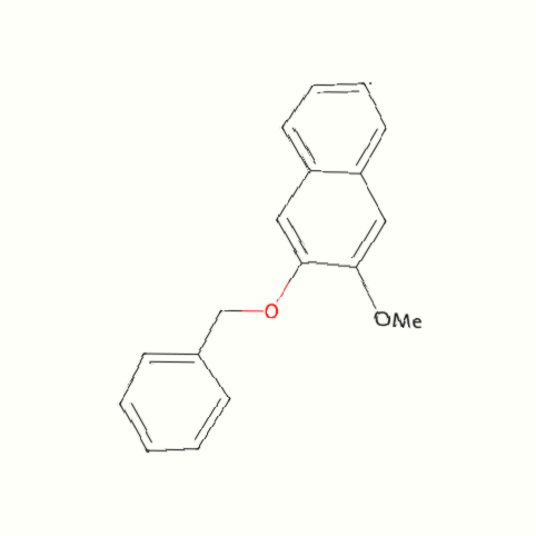 COc1cc2c[c]ccc2cc1OCc1ccccc1